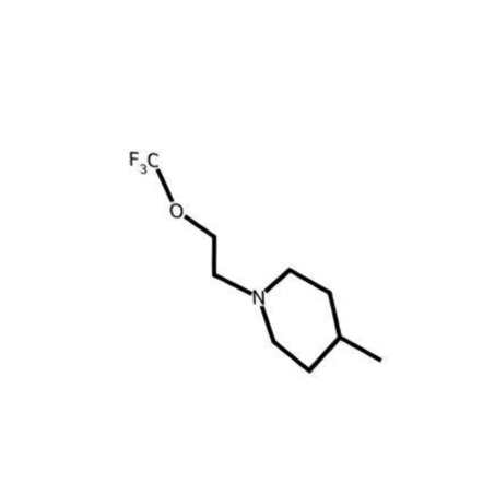 CC1CCN(CCOC(F)(F)F)CC1